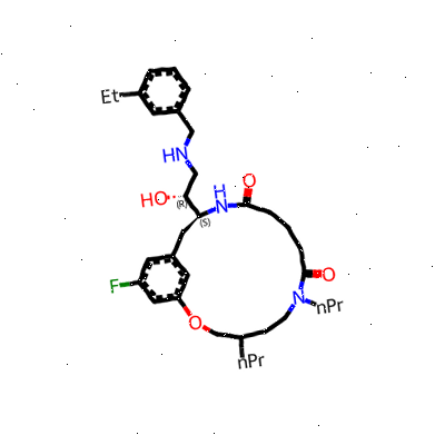 CCCC1CCN(CCC)C(=O)CCCC(=O)N[C@H]([C@H](O)CNCc2cccc(CC)c2)Cc2cc(F)cc(c2)OC1